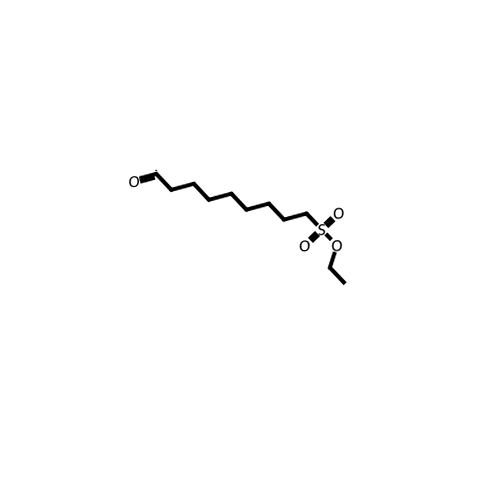 CCOS(=O)(=O)CCCCCCCC[C]=O